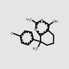 Cc1nc(O)c2c(n1)C(C)(c1ccc(Cl)cc1)CCC2